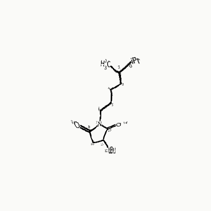 CC(C)C(C)CCCCN1C(=O)CC(C(C)(C)C)C1=O